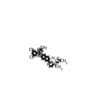 CN(C)CCN(C)c1ccnc(-c2ccc3cc(N(CC(=O)O)S(=O)(=O)c4cc(Cl)cc(Cl)c4)ccc3c2)n1